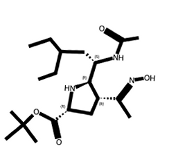 CCC(CC)C[C@H](NC(C)=O)[C@@H]1N[C@@H](C(=O)OC(C)(C)C)C[C@H]1C(C)=NO